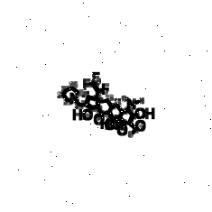 CC(=O)C1=C(O)[C@H](N(C)C)C2CC3Cc4c(C(F)=C(F)F)cc(CN5CCCCC5)c(O)c4C(=O)C3=C(O)[C@]2(O)C1=O